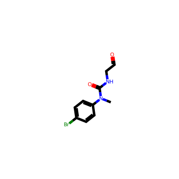 CN(C(=O)NCC=O)c1ccc(Br)cc1